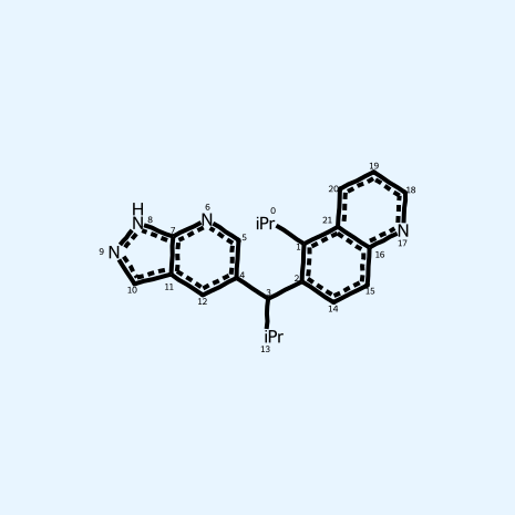 CC(C)c1c(C(c2cnc3[nH]ncc3c2)C(C)C)ccc2ncccc12